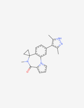 Cc1n[nH]c(C)c1-c1ccc2c(c1)-n1cccc1C(=O)N(C)C21CC1